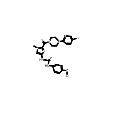 Cn1cc(NC(=O)Nc2ccc(OC(F)(F)F)cc2)nc1C(=O)N1CCN(c2ccc(Br)cn2)CC1